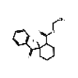 CCOC(=O)C1CCCCC1(O)C(=O)c1ccccc1